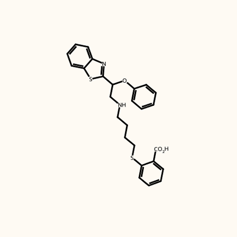 O=C(O)c1ccccc1SCCCCNCC(Oc1ccccc1)c1nc2ccccc2s1